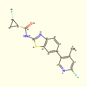 Cc1cc(F)ncc1-c1ccc2nc(NC(=O)[C@@H]3C[C@@H]3F)sc2c1